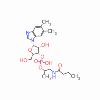 CCCC(=O)NC[C@@H](C)OP(=O)(O)O[C@H]1[C@@H](O)[C@@H](n2cnc3cc(C)c(C)cc32)O[C@@H]1CO